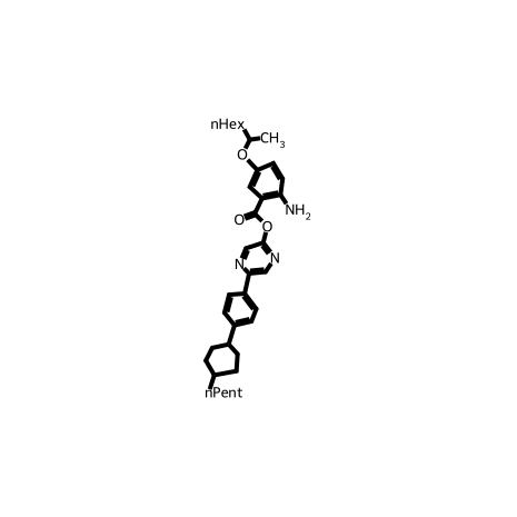 CCCCCCC(C)Oc1ccc(N)c(C(=O)Oc2cnc(-c3ccc(C4CCC(CCCCC)CC4)cc3)cn2)c1